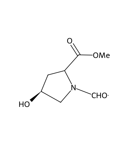 COC(=O)C1C[C@H](O)CN1[C]=O